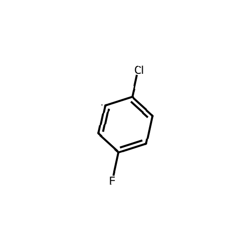 Fc1c[c]c(Cl)cc1